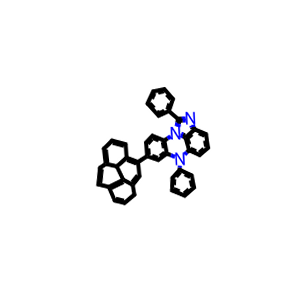 C1=CC2=C(c3ccc4c(c3)N(c3ccccc3)c3cccc5nc(-c6ccccc6)n-4c35)C=C3CC=CC4=C3C2C(=C1)C=C4